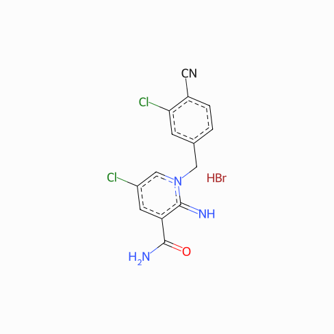 Br.N#Cc1ccc(Cn2cc(Cl)cc(C(N)=O)c2=N)cc1Cl